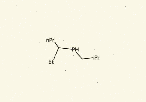 CCCC(CC)PCC(C)C